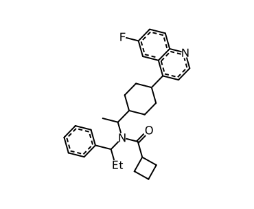 CCC(c1ccccc1)N(C(=O)C1CCC1)C(C)C1CCC(c2ccnc3ccc(F)cc23)CC1